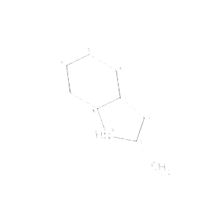 [CH2][C@H]1CC2CCCCC2N1